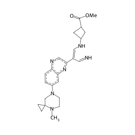 COC(=O)C1CC(N/C=C(\C=N)c2cnc3ccc(N4CCN(C)C5(CC5)C4)cc3n2)C1